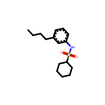 CCCCc1cccc(NS(=O)(=O)C2CCCCC2)c1